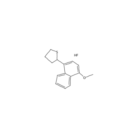 COc1ccc(C2CCCS2)c2ccccc12.F